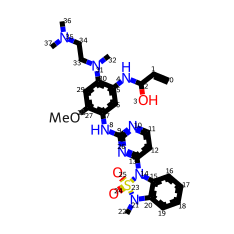 C=CC(O)Nc1cc(Nc2nccc(N3c4ccccc4N(C)S3(=O)=O)n2)c(OC)cc1N(C)CCN(C)C